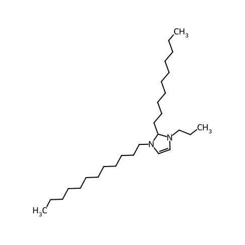 CCCCCCCCCCCCN1C=CN(CCC)C1CCCCCCCCCC